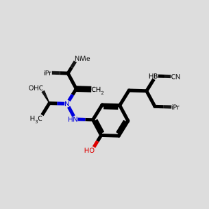 C=C(C(NC)C(C)C)N(Nc1cc(CC(BC#N)CC(C)C)ccc1O)[C@@H](C)C=O